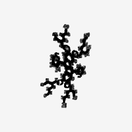 CCCCC(CC)COc1cc2c(cc1OCC(CC)CCCC)C(c1cccs1)=C1C2=C(c2cccs2)c2cc(OCC(CC)CCCC)c(OCC(CC)CCCC)cc21